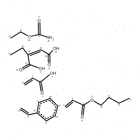 C=CC(=O)O.C=CC(=O)OCCCC.C=Cc1ccccc1.CCC(=CC(=O)O)C(=O)O.CCOC(N)=O